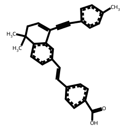 Cc1ccc(C#CC2=CCC(C)(C)c3ccc(/C=C/c4ccc(C(=O)O)cc4)cc32)cc1